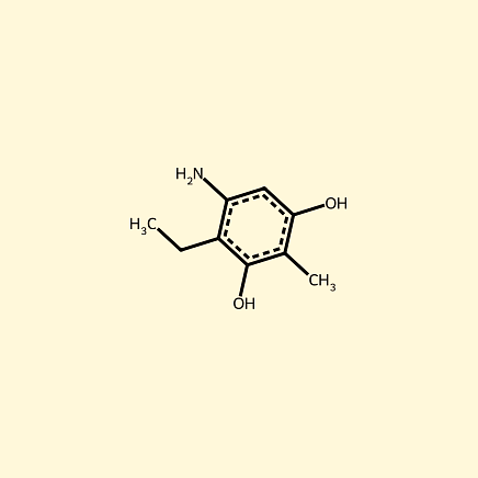 CCc1c(N)cc(O)c(C)c1O